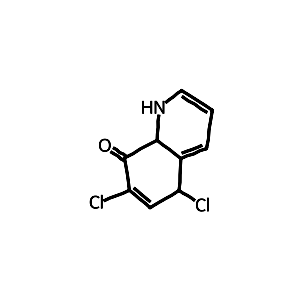 O=C1C(Cl)=CC(Cl)C2=CC=CNC12